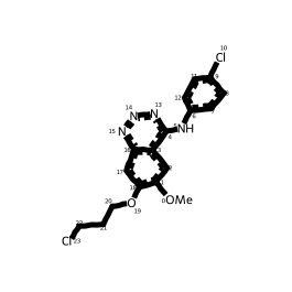 COc1cc2c(Nc3ccc(Cl)cc3)nnnc2cc1OCCCCl